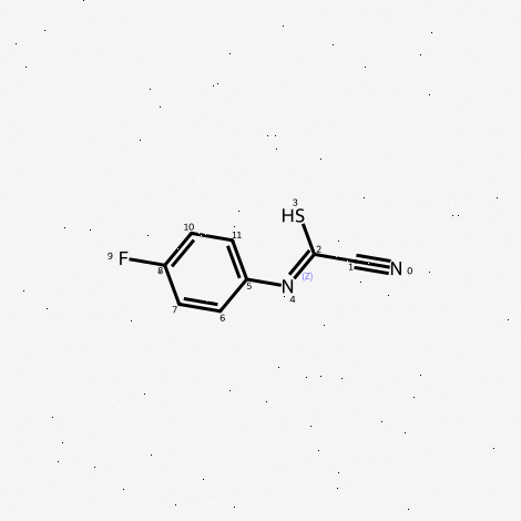 N#C/C(S)=N/c1ccc(F)cc1